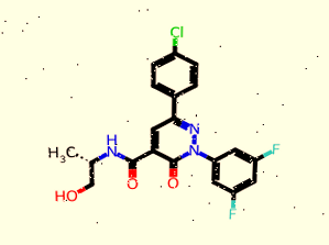 C[C@@H](CO)NC(=O)c1cc(-c2ccc(Cl)cc2)nn(-c2cc(F)cc(F)c2)c1=O